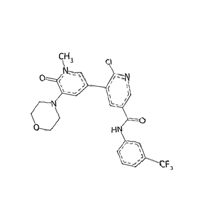 Cn1cc(-c2cc(C(=O)Nc3cccc(C(F)(F)F)c3)cnc2Cl)cc(N2CCOCC2)c1=O